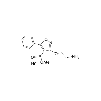 COC(=O)c1c(OCCN)noc1-c1ccccc1.Cl